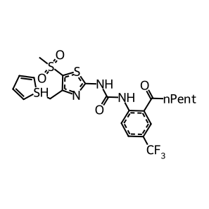 CCCCCC(=O)c1cc(C(F)(F)F)ccc1NC(=O)Nc1nc(C[SH]2C=CC=C2)c(S(C)(=O)=O)s1